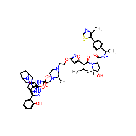 Cc1ncsc1-c1ccc([C@H](C)NC(=O)[C@@H]2C[C@@H](O)CN2C(=O)[C@@H](c2cc(OCCN3CCN(CCOc4cc(N5C6CCC5CN(c5cc(-c7ccccc7O)nnc5NC(=O)O)C6)ccn4)[C@H](C)C3)no2)C(C)C)cc1